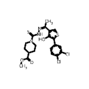 COC(=O)C1CCN(C(=S)N/N=C(/C)c2csc(-c3ccc(Cl)c(Cl)c3)c2O)CC1